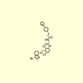 Cc1nc2c(OCc3c(Cl)ccc(N(C)C(=O)CNC(=O)C=Cc4ccc(-n5cccc5)cc4)c3Cl)cccn2c1Br